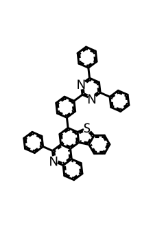 c1ccc(-c2cc(-c3ccccc3)nc(-c3cccc(-c4cc5c(-c6ccccc6)nc6ccccc6c5c5c4sc4ccccc45)c3)n2)cc1